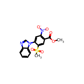 COC(=O)c1cc(S(C)(=O)=O)c(-n2cnc3ccccc32)cc1[N+](=O)[O-]